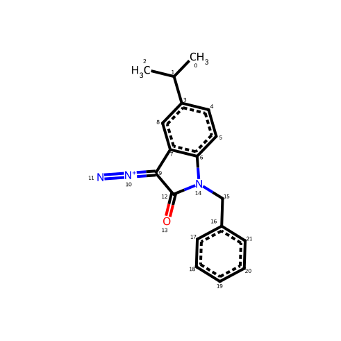 CC(C)c1ccc2c(c1)C(=[N+]=[N-])C(=O)N2Cc1ccccc1